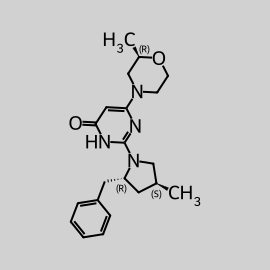 C[C@H]1C[C@H](Cc2ccccc2)N(c2nc(N3CCO[C@H](C)C3)cc(=O)[nH]2)C1